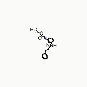 CCOC(=O)/C=C/c1cccc2[nH]c(CCc3ccccc3)nc12